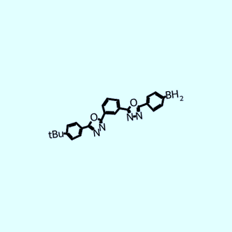 Bc1ccc(-c2nnc(-c3cccc(-c4nnc(-c5ccc(C(C)(C)C)cc5)o4)c3)o2)cc1